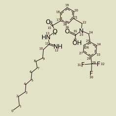 CCCCCCCCCCCC(=N)NOC(=O)c1cccc(CN(Cc2ccc(C(F)(F)F)cc2)C(=O)O)c1